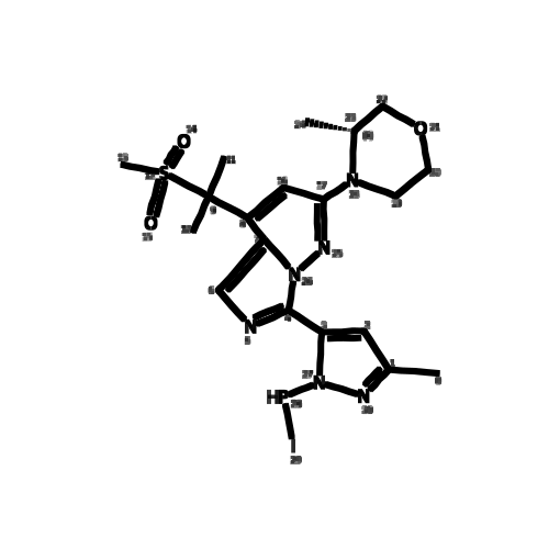 Cc1cc(-c2ncc3c(C(C)(C)S(C)(=O)=O)cc(N4CCOC[C@H]4C)nn23)n(PI)n1